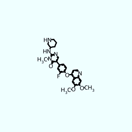 COc1cc2nccc(Oc3ccc(-c4cnc(NC5CCCNC5)n(C)c4=O)cc3F)c2cc1OC